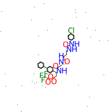 O=C(CCCNC(=O)Nc1ccc(Cl)cc1)NCC(=O)NC(CC(=O)OC(=O)C(F)(F)F)c1ccc(-c2ccccc2)cc1